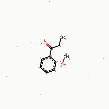 CCC(=O)c1ccccc1.CO